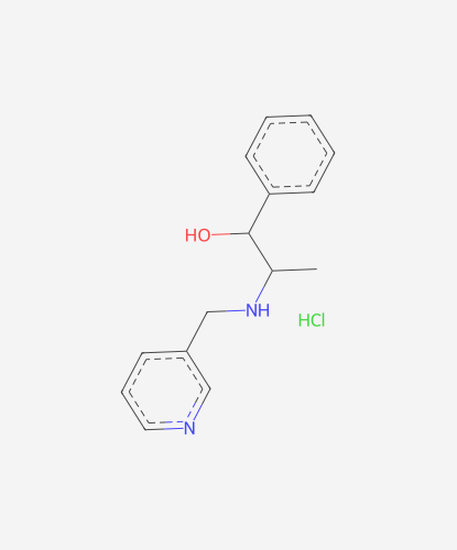 CC(NCc1cccnc1)C(O)c1ccccc1.Cl